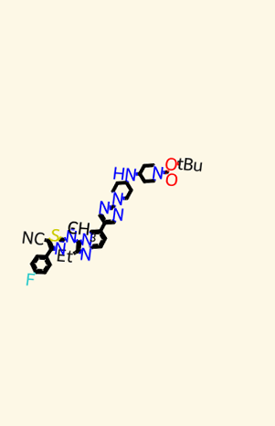 CCc1nc2ccc(-c3cnc(N4CCC(NC5CCN(C(=O)OC(C)(C)C)CC5)CC4)nc3)cn2c1N(C)c1nc(-c2ccc(F)cc2)c(C#N)s1